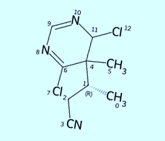 C[C@H](CC#N)C1(C)C(Cl)=NC=NC1Cl